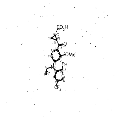 COc1cc(N(CC(C)C)c2cc(C(F)(F)F)ccc2F)cnc1C(=O)[C@H]1C[C@@H]1C(=O)O